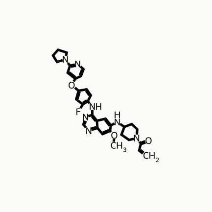 C=CC(=O)N1CCC(Nc2cc3c(Nc4ccc(Oc5ccnc(N6CCCC6)c5)cc4F)ncnc3cc2OC)CC1